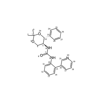 CC1(C)OC[C@H](NC(=O)Nc2ccccc2-c2cccnc2)[C@@H](c2ccccc2)O1